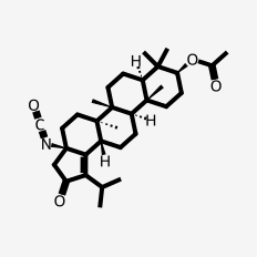 CC(=O)O[C@H]1CC[C@]2(C)[C@H]3CC[C@@H]4C5=C(C(C)C)C(=O)C[C@]5(N=C=O)CC[C@@]4(C)[C@]3(C)CC[C@H]2C1(C)C